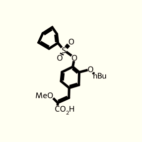 CCCCOc1cc(/C=C(\OC)C(=O)O)ccc1OS(=O)(=O)c1ccccc1